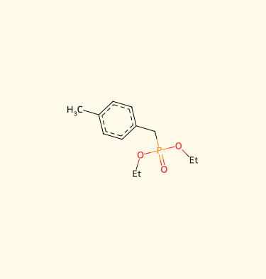 CCOP(=O)(Cc1ccc(C)cc1)OCC